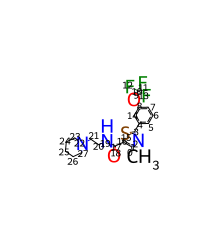 Cc1nc(-c2cccc(OC(F)(F)F)c2)sc1C(=O)NCCN1CCCCC1